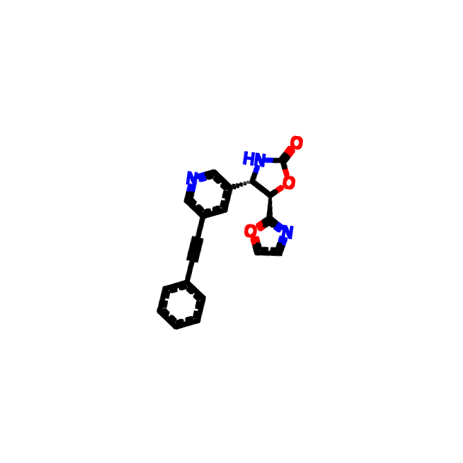 O=C1N[C@@H](c2cncc(C#Cc3ccccc3)c2)[C@H](c2ncco2)O1